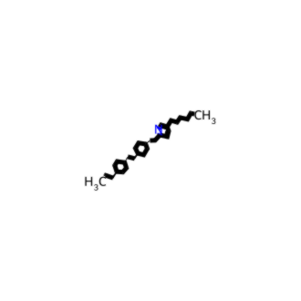 CCCCCCc1ccc(CC[C@H]2CC[C@H](CC[C@H]3CC[C@H](CCC)CC3)CC2)nc1